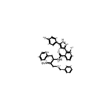 CNC(COCc1ccccc1)C(Cc1ccccn1)NC(=O)c1cccc(F)c1-c1cc(-c2ccc(F)cc2)[nH]n1